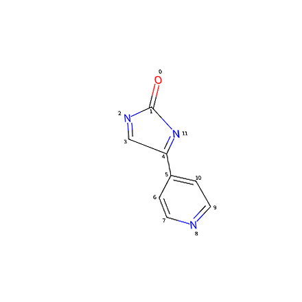 O=C1N=CC(c2ccncc2)=N1